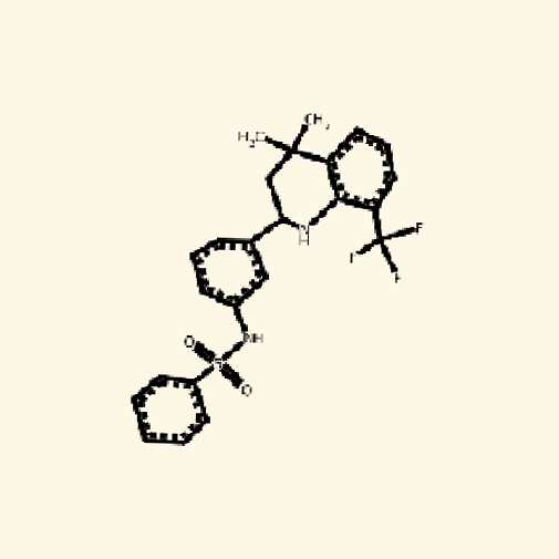 CC1(C)CC(c2cccc(NS(=O)(=O)c3ccccc3)c2)Nc2c(C(F)(F)F)cccc21